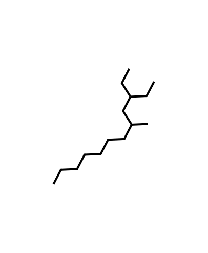 CCCCCCCC(C)[CH]C(CC)CC